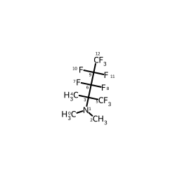 CN(C)C(C)(C(F)(F)F)C(F)(F)C(F)(F)C(F)(F)F